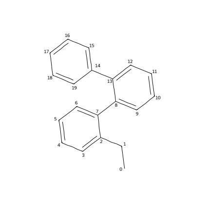 CCc1ccccc1-c1ccccc1-c1ccccc1